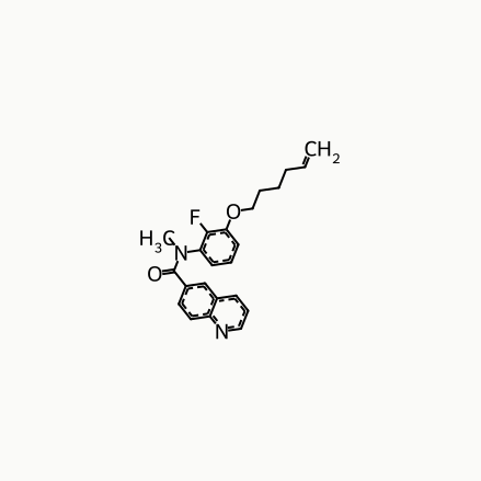 C=CCCCCOc1cccc(N(C)C(=O)c2ccc3ncccc3c2)c1F